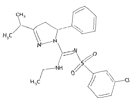 CCN/C(=N\S(=O)(=O)c1cccc(Cl)c1)N1N=C(C(C)C)CC1c1ccccc1